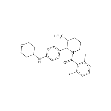 Cc1cccc(F)c1C(=O)N1CCCC(C(=O)O)C1c1ccc(NC2CCOCC2)cc1